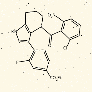 CCOC(=O)c1ccc(-c2n[nH]c3c2C(C(=O)c2c(Cl)cccc2[N+](=O)[O-])CCC3)c(F)c1